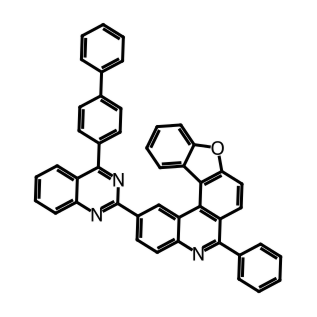 c1ccc(-c2ccc(-c3nc(-c4ccc5nc(-c6ccccc6)c6ccc7oc8ccccc8c7c6c5c4)nc4ccccc34)cc2)cc1